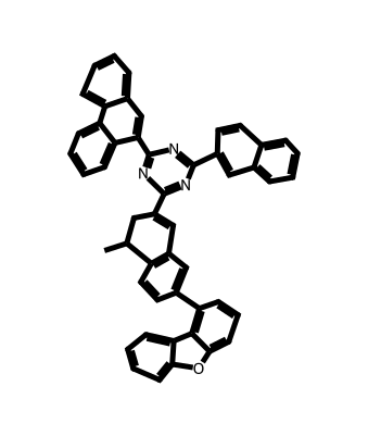 CC1CC(c2nc(-c3ccc4ccccc4c3)nc(-c3cc4ccccc4c4ccccc34)n2)=Cc2cc(-c3cccc4oc5ccccc5c34)ccc21